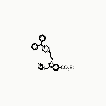 CCOC(=O)c1ccc2c(Cn3ccnc3)cn(CCCN3CCN(C(c4ccccc4)c4ccccc4)CC3)c2c1